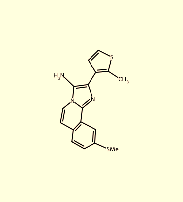 CSc1ccc2ccn3c(N)c(-c4ccsc4C)nc3c2c1